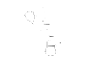 CCOc1ccccc1NC(=O)N1CC(N(CC)c2ccccc2)C1